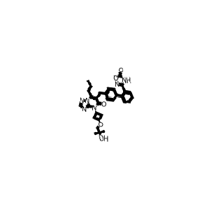 CCCc1c(Cc2ccc(-c3ccccc3-c3noc(=O)[nH]3)cc2)c(=O)n([C@H]2C[C@H](OCC(C)(C)O)C2)c2ncnn12